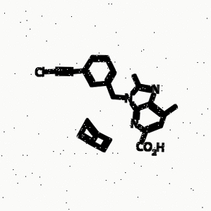 Cc1cc(C(=O)O)nc2c1nc(C)n2Cc1cccc(C#CCl)c1.c1cc2ccc1-2